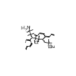 C=C/C=C\C(=C/C=C)C(CC(C)(C)C(C)(C)C)C(C)(C)C(C)(CC)C(C(/C=C\C=C)=C/C)C(C)(C)C(C)(C)N